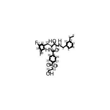 CCc1cccc(CNC[C@H](O)[C@H](Cc2cc(F)cc(F)c2)NC(=O)c2ccc(S(=O)(=O)CCO)cc2)c1